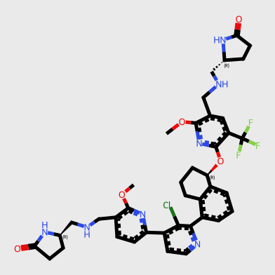 COc1nc(-c2ccnc(-c3cccc4c3CCC[C@H]4Oc3nc(OC)c(CNC[C@H]4CCC(=O)N4)cc3C(F)(F)F)c2Cl)ccc1CNC[C@H]1CCC(=O)N1